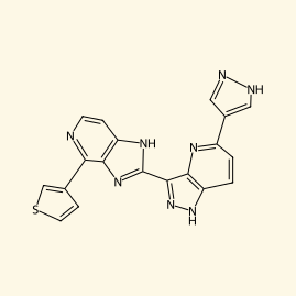 c1cc2[nH]c(-c3n[nH]c4ccc(-c5cn[nH]c5)nc34)nc2c(-c2ccsc2)n1